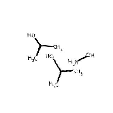 CC(C)O.CC(C)O.NO